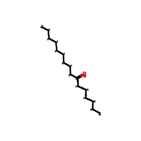 [CH2]CCCCCCCCC(=O)CCCCCC